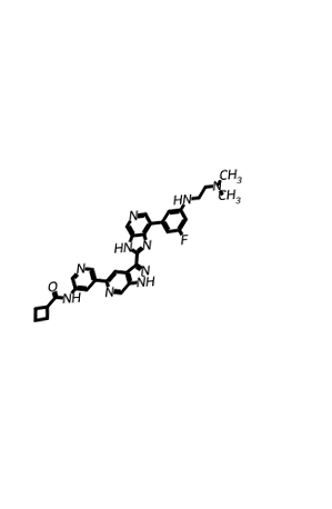 CN(C)CCNc1cc(F)cc(-c2cncc3[nH]c(-c4n[nH]c5cnc(-c6cncc(NC(=O)C7CCC7)c6)cc45)nc23)c1